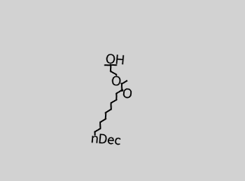 CCCCCCCCCCCCCCCCCCCC(=O)C(C)OCCC(C)(C)O